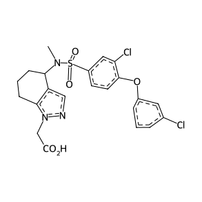 CN(C1CCCc2c1cnn2CC(=O)O)S(=O)(=O)c1ccc(Oc2cccc(Cl)c2)c(Cl)c1